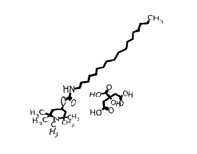 CCCCCCCCCCCCCCCCCCNC(=O)OC1CC(C)(C)N(C)C(C)(C)C1.O=C(O)CC(O)(CC(=O)O)C(=O)O